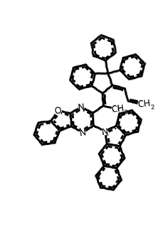 C=C/C=C1\C(=C(/C)c2nc3oc4ccccc4c3nc2-n2c3ccccc3c3cc4ccccc4cc32)c2ccccc2C1(c1ccccc1)c1ccccc1